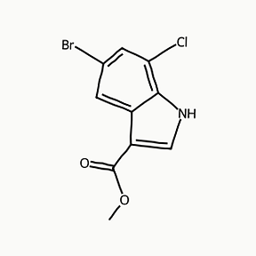 COC(=O)c1c[nH]c2c(Cl)cc(Br)cc12